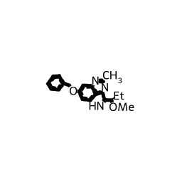 CC[C@H](OC)C(=N)c1nc(C)nc2cc(OCc3ccccc3)ccc12